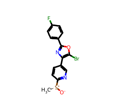 C[S@@+]([O-])c1ccc(-c2nc(-c3ccc(F)cc3)oc2Br)cn1